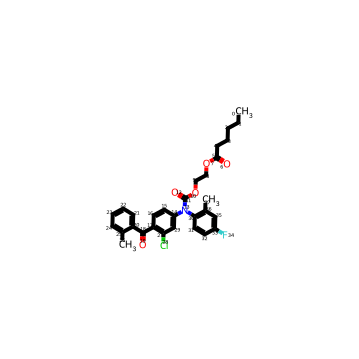 CCCCCC(=O)OCCOC(=O)N(c1ccc(C(=O)c2ccccc2C)c(Cl)c1)c1ccc(F)cc1C